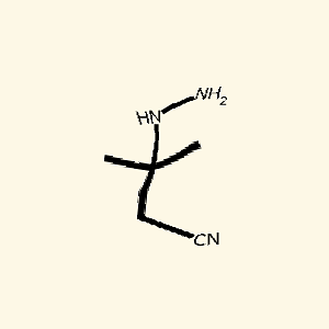 CC(C)(CC#N)NN